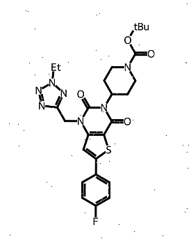 CCn1nnc(Cn2c(=O)n(C3CCN(C(=O)OC(C)(C)C)CC3)c(=O)c3sc(-c4ccc(F)cc4)cc32)n1